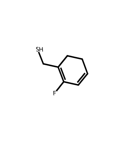 FC1=C(CS)CCC=C1